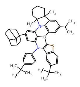 CC(C)c1cc2c3c(c1)C1(C)CCCCC1(C)N3c1cc(C34CC5CC(CC(C5)C3)C4)cc3c1B2c1sc2ccc(C(C)(C)C)cc2c1N3c1ccc(C(C)(C)C)cc1